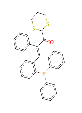 O=C(/C(=C/c1ccccc1P(c1ccccc1)c1ccccc1)c1ccccc1)C1SCCCS1